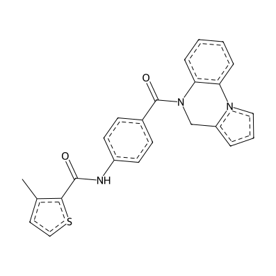 Cc1ccsc1C(=O)Nc1ccc(C(=O)N2Cc3cccn3-c3ccccc32)cc1